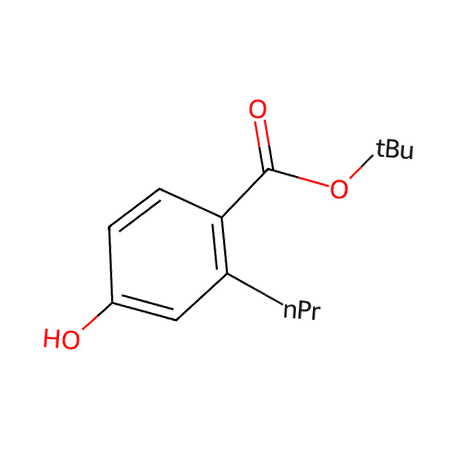 CCCc1cc(O)ccc1C(=O)OC(C)(C)C